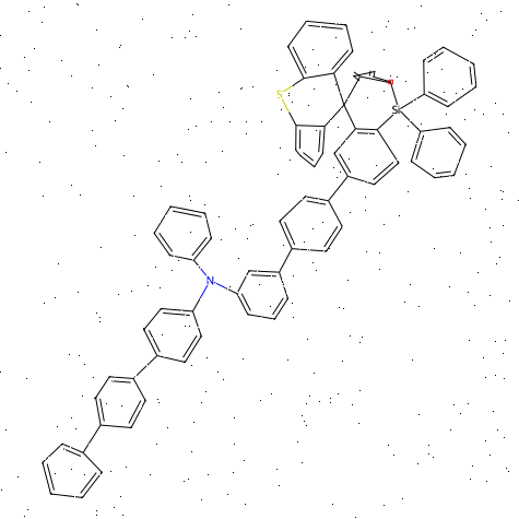 c1ccc(-c2ccc(-c3ccc(N(c4ccccc4)c4cccc(-c5ccc(-c6ccc7c(c6)C6(c8ccccc8Sc8ccccc86)c6ccccc6[Si]7(c6ccccc6)c6ccccc6)cc5)c4)cc3)cc2)cc1